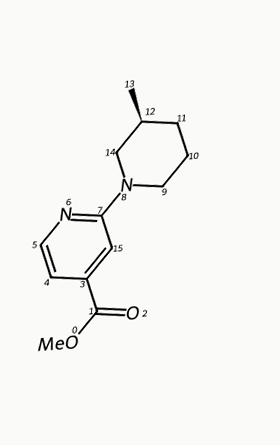 COC(=O)c1ccnc(N2CCC[C@H](C)C2)c1